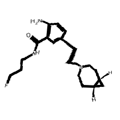 Nc1ccc(CCN2CC[C@@H]3C[C@@H]3CC2)cc1C(=O)NCCCF